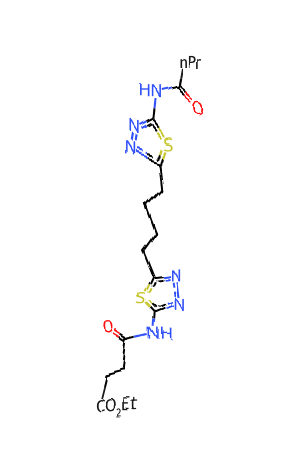 CCCC(=O)Nc1nnc(CCCCc2nnc(NC(=O)CCC(=O)OCC)s2)s1